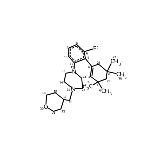 CC1(C)C=C(c2c(F)cccc2N2CCN(CC3CCOCC3)CC2)CC(C)(C)C1